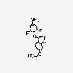 CC(O)Oc1ccc2c(Oc3c(F)cc(N)cc3F)ccnc2c1